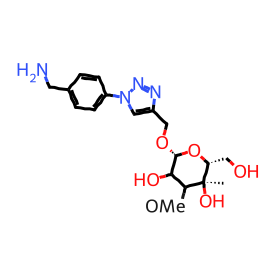 COC1C(O)[C@H](OCc2cn(-c3ccc(CN)cc3)nn2)O[C@H](CO)[C@@]1(C)O